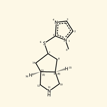 Cn1ccnc1SC1C[C@H]2CNC[C@H]2C1